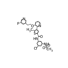 Cc1sc(C(=O)Nc2cc(Cl)cc(NS(C)(=O)=O)c2)cc1-c1ncccc1OCCc1cncc(F)c1